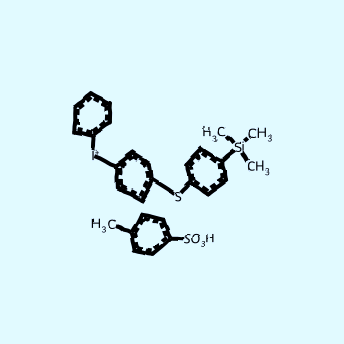 C[Si](C)(C)c1ccc(Sc2ccc([I+]c3ccccc3)cc2)cc1.Cc1ccc(S(=O)(=O)O)cc1